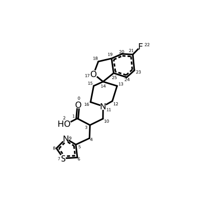 O=C(O)C(Cc1cscn1)CN1CCC2(CC1)OCc1cc(F)ccc12